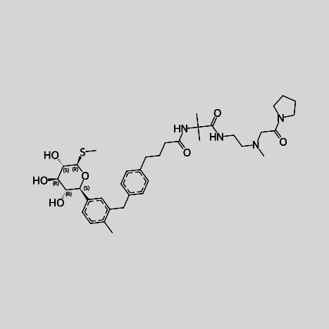 CS[C@H]1O[C@@H](c2ccc(C)c(Cc3ccc(CCCC(=O)NC(C)(C)C(=O)NCCN(C)CC(=O)N4CCCC4)cc3)c2)[C@H](O)[C@@H](O)[C@@H]1O